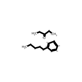 CCC(=O)CC.CCCCCc1ccccc1